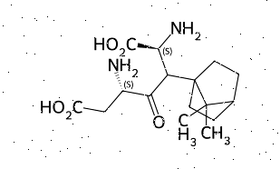 CC1(C)C2CCC1(C(C(=O)[C@@H](N)CC(=O)O)[C@H](N)C(=O)O)CC2